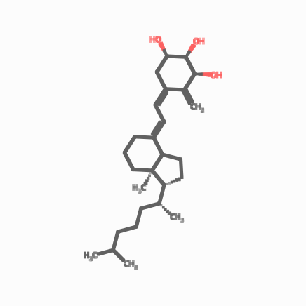 C=C1/C(=C\C=C2CCC[C@@]3(C)C2CC[C@@H]3[C@H](C)CCCC(C)C)C[C@@H](O)[C@@H](O)[C@H]1O